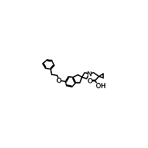 O=C(O)C1(CN2CC3(Cc4ccc(OCCc5ccccc5)cc4C3)C2)CC1